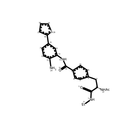 CCNC(=O)[C@H](Cc1ccc(C(=O)Nc2cc(-c3cccs3)ccc2N)cc1)NC(C)=O